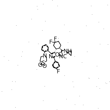 N#CC1(NC(=O)[C@@H]2CCC(F)(F)C[C@H]2c2oc(-c3ccc(F)cc3)nc2-c2ccccc2N2CCS(=O)(=O)CC2)CC1